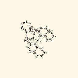 CC(c1ccc2ccccc2c1O)(c1c(O)ccc2ccccc12)c1c(O)ccc2ccccc12